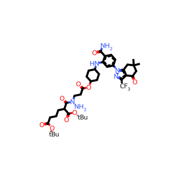 CC1(C)CC(=O)c2c(C(F)(F)F)nn(-c3ccc(C(N)=O)c(NC4CCC(OC(=O)CCN(N)C(=O)C(CCCC(=O)OC(C)(C)C)C(=O)OC(C)(C)C)CC4)c3)c2C1